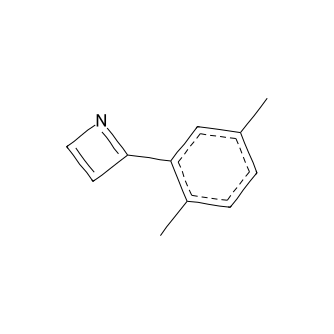 Cc1ccc(C)c(C2=NC=C2)c1